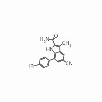 Cc1c(C(N)=O)[nH]c2c(-c3ccc(C(C)C)cc3)cc(C#N)cc12